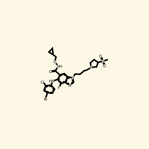 CS(=O)(=O)C1CCN(CCCCn2cnc3c(F)c(Nc4ccc(Br)cc4Cl)c(C(=O)NOCC4CC4)cc32)C1